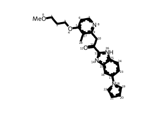 COCCCOc1ccnc(CC(=O)c2nc3cc(-n4cccc4)ccc3[nH]2)c1C